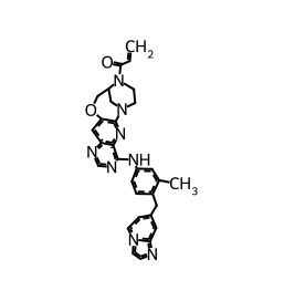 C=CC(=O)N1CCN2CC1COc1cc3ncnc(Nc4ccc(Cc5ccn6ccnc6c5)c(C)c4)c3nc12